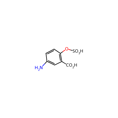 Nc1ccc(OS(=O)(=O)O)c(C(=O)O)c1